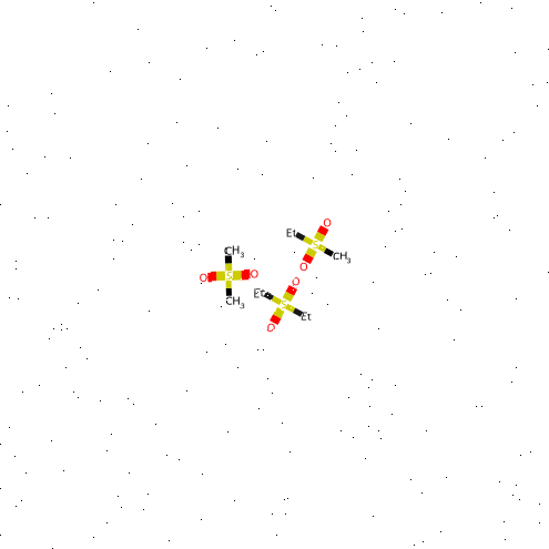 CCS(=O)(=O)CC.CCS(C)(=O)=O.CS(C)(=O)=O